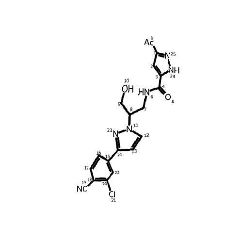 CC(=O)c1cc(C(=O)NCC(CO)n2ccc(-c3ccc(C#N)c(Cl)c3)n2)[nH]n1